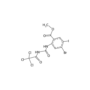 COC(=O)c1cc(I)c(Br)cc1NC(=O)NC(=O)C(Cl)(Cl)Cl